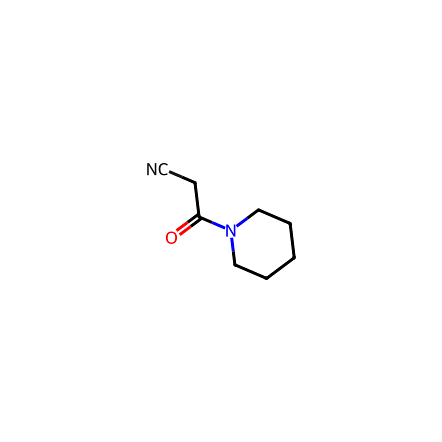 N#CCC(=O)N1CCCCC1